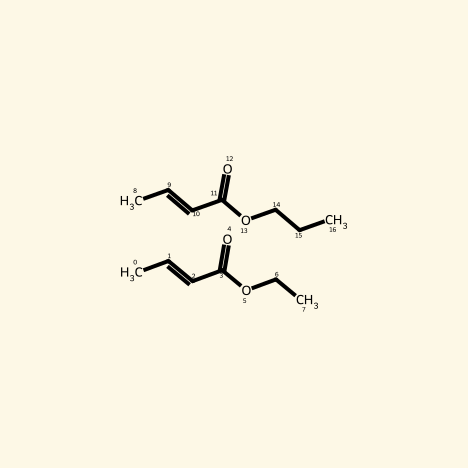 C/C=C/C(=O)OCC.CC=CC(=O)OCCC